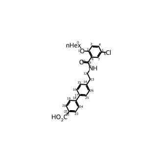 CCCCCCOc1ccc(Cl)cc1C(=O)NCCc1ccc(-c2ccc(C(=O)O)cc2)cc1